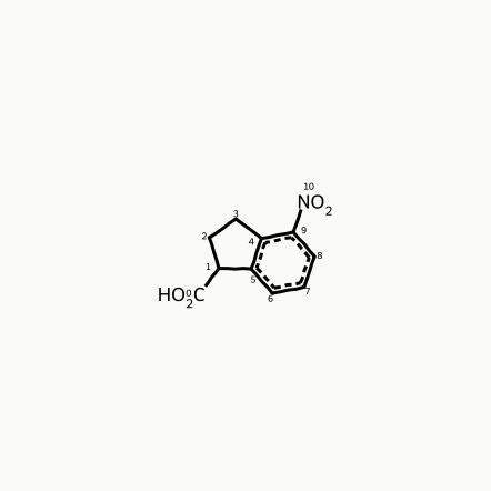 O=C(O)C1CCc2c1cccc2[N+](=O)[O-]